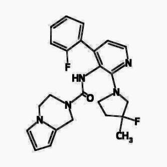 CC1(F)CCN(c2nccc(-c3ccccc3F)c2NC(=O)N2CCn3cccc3C2)C1